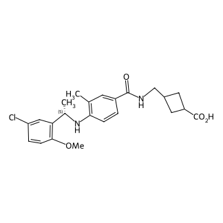 COc1ccc(Cl)cc1[C@H](C)Nc1ccc(C(=O)NCC2CC(C(=O)O)C2)cc1C